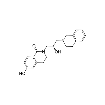 O=C1c2ccc(O)cc2CCN1C[C@H](O)CN1CCc2ccccc2C1